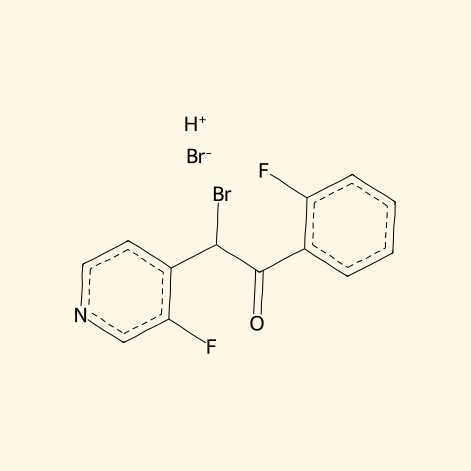 O=C(c1ccccc1F)C(Br)c1ccncc1F.[Br-].[H+]